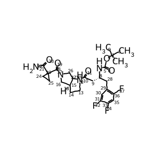 CC(C)(C)OC(=O)N[C@@H](CC(=O)N1CC[C@H]2CN(C(=O)C3(C(N)=O)CC3)C[C@H]21)Cc1cc(F)c(F)cc1F